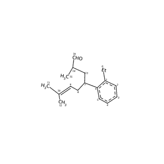 CCc1ccccc1C(CC=C(C)C)CC(C)C=O